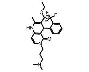 CCOC(=O)C1=C(C)Nc2ccn(CCCN(C)C)c(=O)c2C1c1ccccc1C(F)(F)F